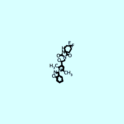 Cc1cc(C(=O)CN2C(=O)NC3(CCC(F)(F)CC3)C2=O)c(C)n1-c1noc2ccccc12